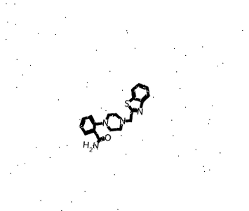 NC(=O)c1ccccc1N1CCN(Cc2nc3ccccc3s2)CC1